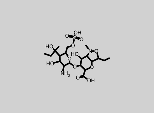 CCC1ON(C)C2C(O)C(OC3OC(COS(=O)(=O)O)C(C(C)(O)CC)C(O)C3N)C(C(=O)O)OC12